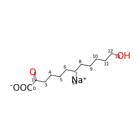 O=C([O-])C(=O)CCCCCCCCCCO.[Na+]